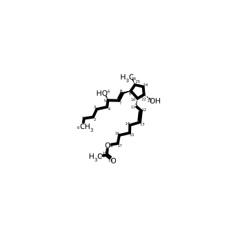 CCCCC[C@H](O)/C=C/[C@@H]1[C@@H](C/C=C\CCCCOC(C)=O)[C@@H](O)C[C@H]1C